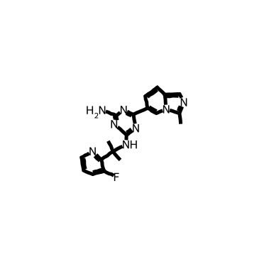 Cc1ncc2ccc(-c3nc(N)nc(NC(C)(C)c4ncccc4F)n3)cn12